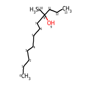 CCCCCCCCC(O)([SiH3])CCC